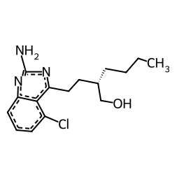 CCCC[C@H](CO)CCc1nc(N)nc2cccc(Cl)c12